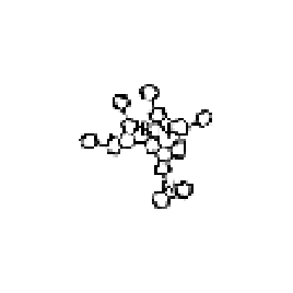 c1ccc(-c2ccc3c(c2)-c2cc(-c4ccccc4)cc4c2C(C3)c2cc3c5ccc(-n6c7ccccc7c7ccccc76)cc5c5ccccc5c3c3c2B4c2cc(-c4ccccc4)cc4c5cc(-c6ccccc6)ccc5n-3c24)cc1